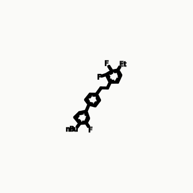 CCCCc1ccc(-c2ccc(CCc3ccc(CC)c(F)c3F)cc2)cc1F